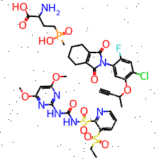 C#CC(C)Oc1cc(N2C(=O)C3=C(CCCC3)C2=O)c(F)cc1Cl.CCS(=O)(=O)c1cccnc1S(=O)(=O)NC(=O)Nc1nc(OC)cc(OC)n1.CP(=O)(O)CCC(N)C(=O)O